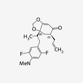 C=CC[C@H]1C[C@]2(C(C)Cc3cc(F)c(NC)cc3F)OCOC2=CC1=O